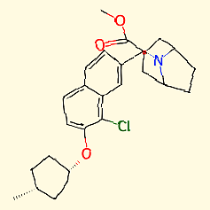 COC(=O)C1CC2CCC(C1)N2Cc1ccc2ccc(O[C@H]3CC[C@@H](C)CC3)c(Cl)c2c1